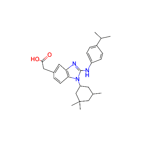 CC1CC(n2c(Nc3ccc(C(C)C)cc3)nc3cc(CC(=O)O)ccc32)CC(C)(C)C1